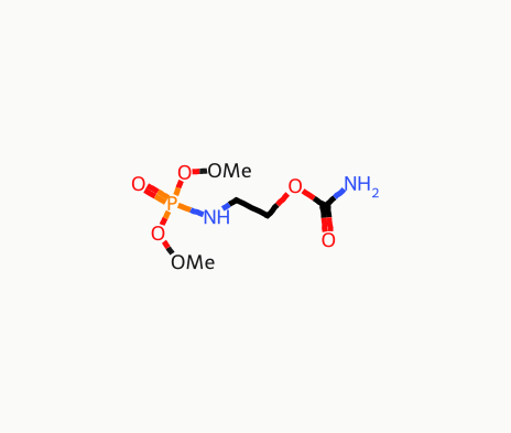 COOP(=O)(NCCOC(N)=O)OOC